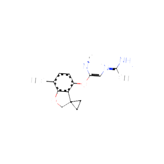 C=N/C(=C\N=C(/C)N)Oc1ccc(C)c2c1C1(CC1)CO2